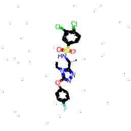 CCn1c(Oc2ccc(F)cc2)nnc1[C@@H](C)NS(=O)(=O)c1ccc(Cl)c(Cl)c1